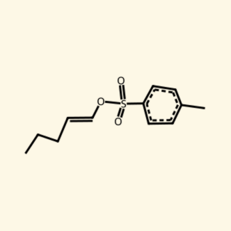 CCC/C=C/OS(=O)(=O)c1ccc(C)cc1